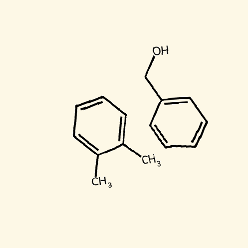 Cc1ccccc1C.OCc1ccccc1